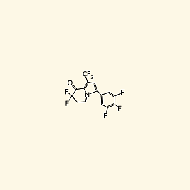 O=C1c2c(C(F)(F)F)cc(-c3cc(F)c(F)c(F)c3)n2CCC1(F)F